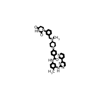 Cc1ccc(NC(=O)c2ccc(N3CCC(N(C)Cc4cccc(N5CCC(=O)NC5=O)c4)CC3)cc2)cc1Nc1nccc(-c2cccnc2)n1